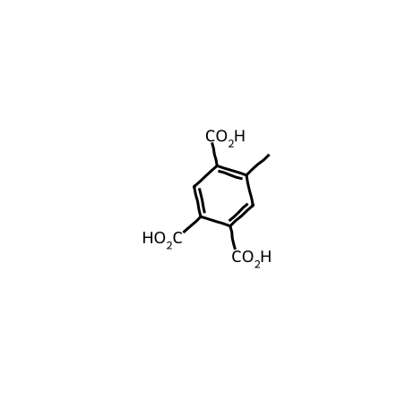 Cc1cc(C(=O)O)c(C(=O)O)cc1C(=O)O